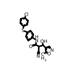 Cc1oncc1C(O)C(C#N)C(=O)Nc1ccc(Sc2ccc(Cl)cc2)cc1